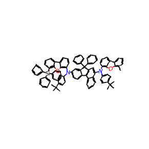 Cc1cccc2c1oc1c(N(c3ccc(C(C)(C)C)cc3)c3cc4c(c5ccccc35)-c3ccc(N(c5ccc(C(C)(C)C)cc5)c5cccc6c5oc5c([Si](c7ccccc7)(c7ccccc7)c7ccccc7)cccc56)cc3C4(c3ccccc3)c3ccccc3)cccc12